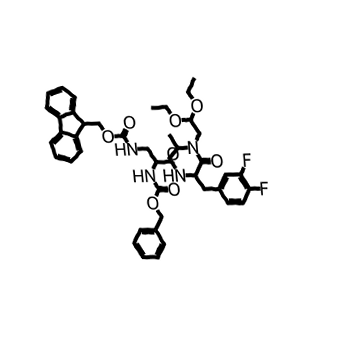 CCOC(CN(C(=O)C(Cc1ccc(F)c(F)c1)NC(=O)C(CNC(=O)OCC1c2ccccc2-c2ccccc21)NC(=O)OCc1ccccc1)C(C)C)OCC